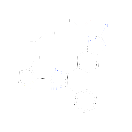 CS(=O)(=O)O.Cc1ccsc1-c1nc(-c2ccc3nc(N)n(S(=O)(=O)C(C)C)c3c2)c(-c2ccccc2)[nH]1